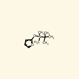 CC(C)(C)[Si](C)(C)Oc1ccco1